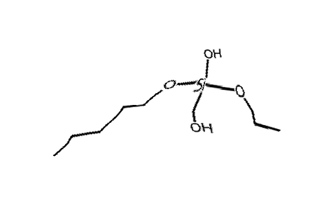 CCCCCO[Si](O)(O)OCC